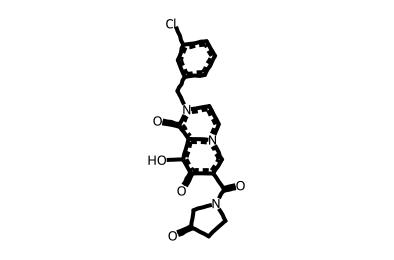 O=C1CCN(C(=O)c2cn3ccn(Cc4cccc(Cl)c4)c(=O)c3c(O)c2=O)C1